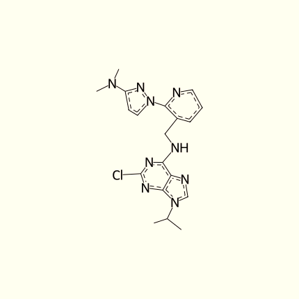 CC(C)n1cnc2c(NCc3cccnc3-n3ccc(N(C)C)n3)nc(Cl)nc21